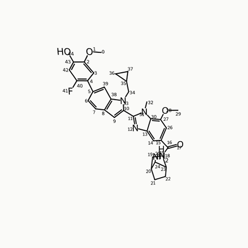 COc1cc(-c2ccc3cc(-c4nc5cc(C(=O)N6CC7CCC6[C@@H]7N)cc(OC)c5n4C)n(CC4CC4)c3c2)c(F)cc1O